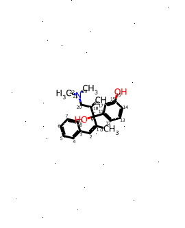 CC(=Cc1ccccc1)C(O)(c1cccc(O)c1)C(C)CN(C)C